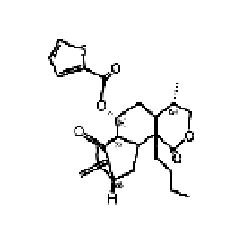 C=C1C(=O)[C@]23CC[C@H]1CC2C1(CCCC)C(=O)OC[C@@H](C)C1C[C@H]3OC(=O)c1cccs1